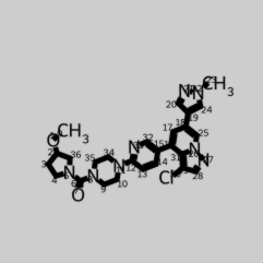 COC1CCN(C(=O)N2CCN(c3ccc(-c4cc(-c5cnn(C)c5)cn5ncc(Cl)c45)cn3)CC2)C1